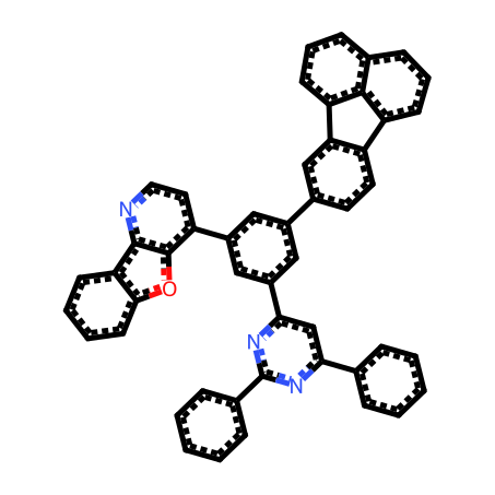 c1ccc(-c2cc(-c3cc(-c4ccc5c(c4)-c4cccc6cccc-5c46)cc(-c4ccnc5c4oc4ccccc45)c3)nc(-c3ccccc3)n2)cc1